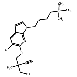 CC(C#N)(CO)COc1nc2c(ccn2COCC[Si](C)(C)C)cc1Br